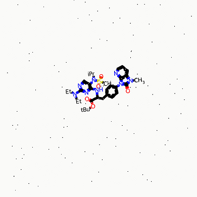 CCN(CC)c1ncc(N(C(C)C)S(C)(=O)=O)c(NC(Cc2ccc(-n3c(=O)n(C)c4cccnc43)cc2)C(=O)OC(C)(C)C)n1